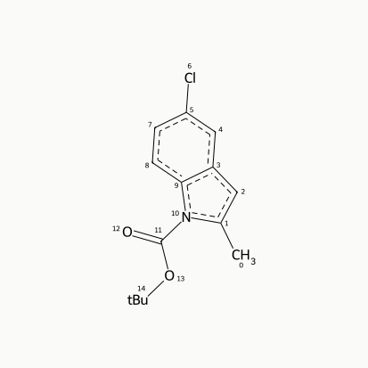 Cc1cc2cc(Cl)ccc2n1C(=O)OC(C)(C)C